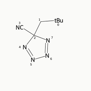 CC(C)(C)CC1(C#N)N=NN=N1